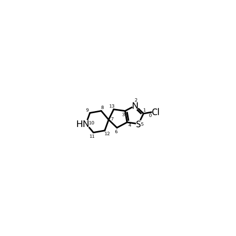 Clc1nc2c(s1)CC1(CCNCC1)C2